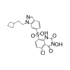 O=c1[nH]c2c(S(=O)(=O)c3ccc4cnn(CCC5CCC5)c4c3)ccc(Cl)c2c(=O)n1O